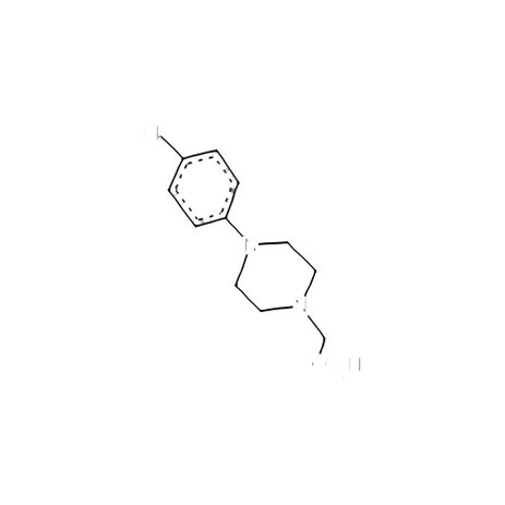 O=C(O)CN1CCN(c2ccc(Cl)cc2)CC1